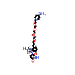 Cn1c(=O)n(C2CCC(=O)NC2=O)c2cccc(CCCOCCOCCOCCOCCN3CCC(N)CC3)c21